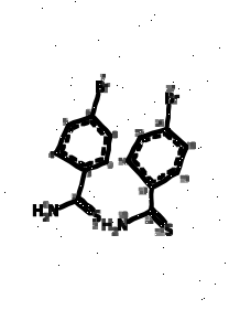 NC(=S)c1ccc(Br)cc1.NC(=S)c1ccc(Br)cc1